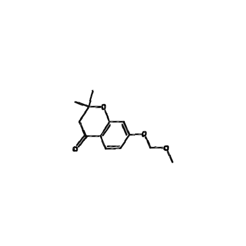 COCOc1ccc2c(c1)OC(C)(C)CC2=O